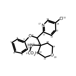 O=C(O)NC1(C(Oc2ccccc2)c2ccc(Cl)cn2)CCOCC1